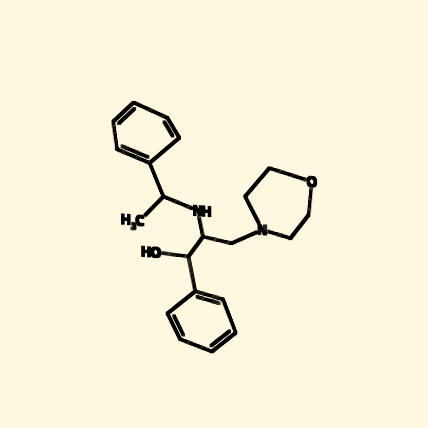 CC(NC(CN1CCOCC1)C(O)c1ccccc1)c1ccccc1